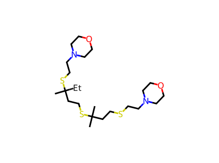 CCC(C)(CCSC(C)(C)CCSCCN1CCOCC1)SCCN1CCOCC1